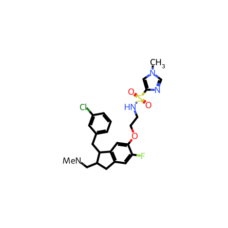 CNCC1Cc2cc(F)c(OCCNS(=O)(=O)c3cn(C)cn3)cc2C1Cc1cccc(Cl)c1